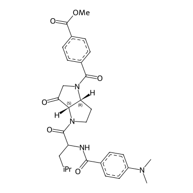 COC(=O)c1ccc(C(=O)N2CC(=O)[C@@H]3[C@H]2CCN3C(=O)C(CC(C)C)NC(=O)c2ccc(N(C)C)cc2)cc1